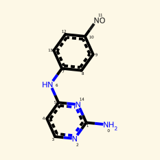 Nc1nccc(Nc2ccc(N=O)cc2)n1